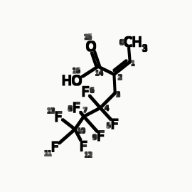 CC=C(CC(F)(F)C(F)(F)C(F)(F)F)C(=O)O